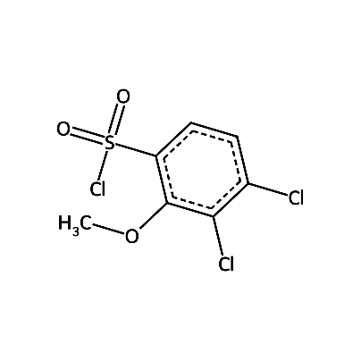 COc1c(S(=O)(=O)Cl)ccc(Cl)c1Cl